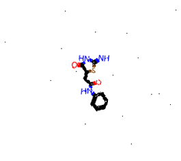 N=C1NC(=O)C(CC(=O)Nc2ccccc2)S1